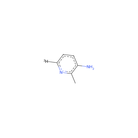 [2H]c1ccc(N)c(C)n1